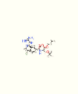 CCCCOC(=O)C(COC(C)(C)C)NC(=O)c1ccc2c(Cl)cnc(NC(=N)N)c2c1